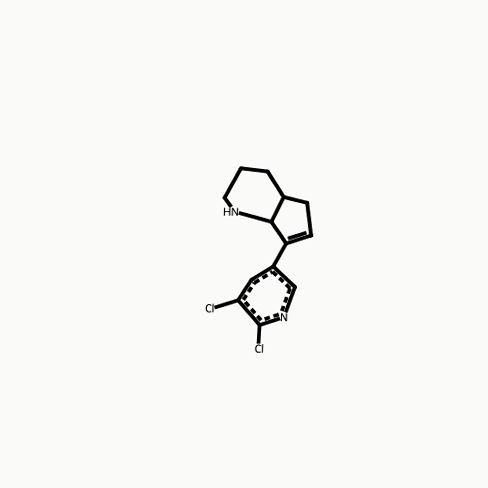 Clc1cc(C2=CCC3CCCNC23)cnc1Cl